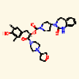 Cc1cc(C[C@@H](OC(=O)N2CCC(N3CCc4ccccc4NC3=O)CC2)C(=O)N2CCN(C3CCOC3)CC2)cc(C)c1O